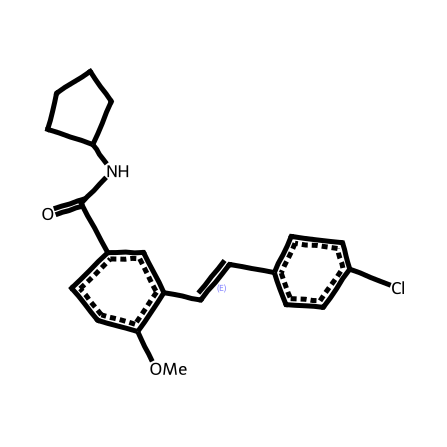 COc1ccc(C(=O)NC2CCCC2)cc1/C=C/c1ccc(Cl)cc1